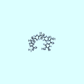 CCc1oc2cc(S(=O)(=O)Nc3ccc(S(=O)(=O)Nc4nc(C(N)=O)cs4)cc3)ccc2c1C(=O)c1cc(C)c(O)c(Br)c1